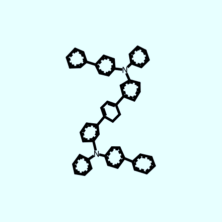 C1=C(c2cccc(N(c3ccccc3)c3ccc(-c4ccccc4)cc3)c2)CCC(c2cccc(N(c3ccccc3)c3ccc(-c4ccccc4)cc3)c2)=C1